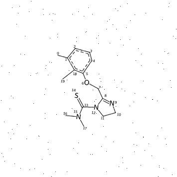 Cc1cccc(OCC2=NCCN2C(=S)N(C)C)c1C